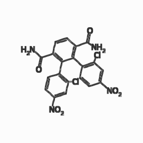 NC(=O)c1ccc(C(N)=O)c(-c2ccc([N+](=O)[O-])cc2Cl)c1-c1ccc([N+](=O)[O-])cc1Cl